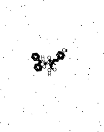 COc1ccc(CC[C@@]2(C)C(=O)N(C(=O)NC(c3ccccc3)c3ccccc3)C2C(=O)O)cc1